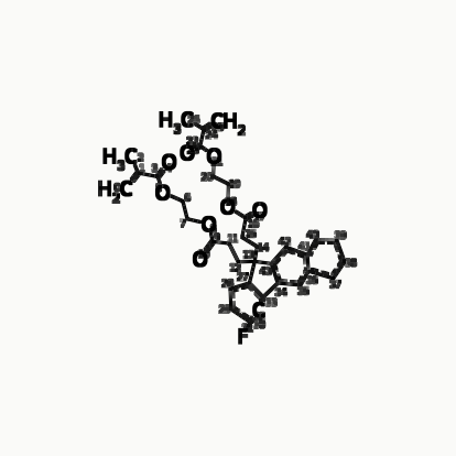 C=C(C)C(=O)OCCOC(=O)CCC1(CCC(=O)OCCOC(=O)C(=C)C)c2ccc(F)cc2-c2cc3ccccc3cc21